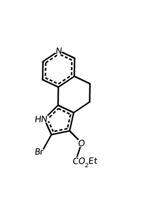 CCOC(=O)Oc1c(Br)[nH]c2c1CCc1cnccc1-2